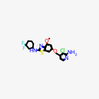 COc1cc(OCc2ccnc(N)c2Cl)cc2sc(NC3CCCC(F)(F)C3)nc12